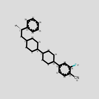 C[C@@H](CC1CCC(C2CCC(c3ccc(C#N)c(F)c3)CC2)CC1)c1ccccc1